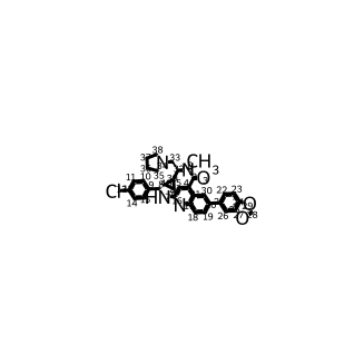 CN(C(=O)c1cc(NCc2ccc(Cl)cc2)nc2ccc(-c3ccc4c(c3)OCO4)cc12)[C@H](CN1CCCC1)C1CC1